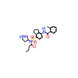 CCCC(=O)N(C1CCNC1)S(=O)(=O)c1ccc(NC(=O)c2ccccc2C)c2c1CCC2